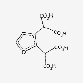 O=C(O)C(C(=O)O)c1ccoc1C(C(=O)O)C(=O)O